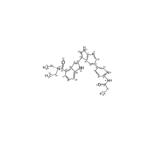 CCC(=O)Nc1ccc(-c2cnc3[nH]nc(-c4cc5c(C(=O)N(CC)CC)cccc5[nH]4)c3c2)cn1